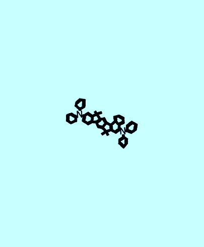 CC1(C)c2cc(N(C3=CC=CCC3)C3C=CC=CC3)ccc2-c2cc3c(cc21)-c1c(cc(N(c2ccccc2)c2ccccc2)c2ccccc12)C3(C)C